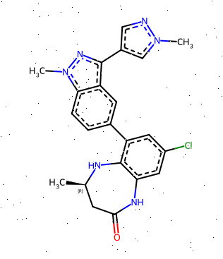 C[C@@H]1CC(=O)Nc2cc(Cl)cc(-c3ccc4c(c3)c(-c3cnn(C)c3)nn4C)c2N1